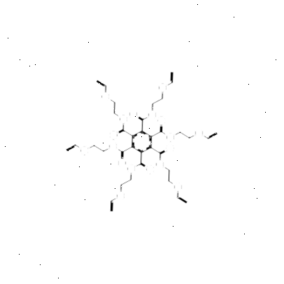 C=COCCOC(=O)c1c(C(=O)OCCOC=C)c(C(=O)OCCOC=C)c(C(=O)OCCOC=C)c(C(=O)OCCOC=C)c1C(=O)OCCOC=C